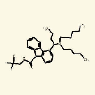 CCCCCN(CCCCC)C(CCC)c1cccc2c1-c1ccccc1C2C(=O)NCC(F)(F)F